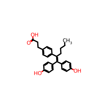 CCCCC(=C(c1ccc(O)cc1)c1ccc(O)cc1)c1ccc(CCC(=O)O)cc1